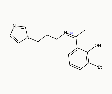 CCc1cccc(/C(C)=N\CCCn2ccnc2)c1O